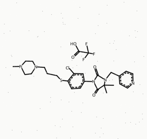 CN1CCN(CCCSc2ccc(N3C(=O)N(Cc4ccncc4)C(C)(C)C3=O)cc2Cl)CC1.O=C(O)C(F)(F)F